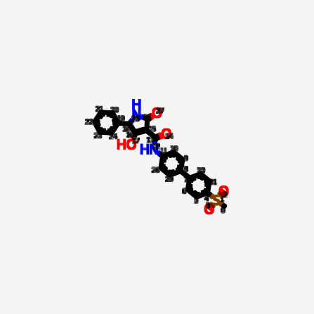 CS(=O)(=O)c1ccc(-c2ccc(NC(=O)C3=C(O)C(c4ccccc4)NC3=O)cc2)cc1